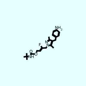 Cc1nn(C/C(F)=C/COC(=O)NC(C)(C)C)c(C)c1Cc1ccc(N)cc1